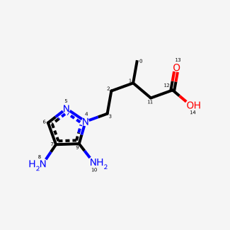 CC(CCn1ncc(N)c1N)CC(=O)O